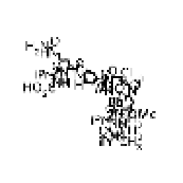 CC[C@H](C)[C@@H]([C@@H](CC(=O)N1CCC[C@H]1[C@H](OC)[C@@H](C)C(=O)NS(=O)(=O)c1ccc(NC(=O)[C@H](CCCNC(N)=O)NC(=O)[C@@H](NC(=O)O)C(C)C)cc1)OC)N(C)C(=O)[C@@H](NC(=O)[C@H](C(C)C)N(C)C)C(C)C